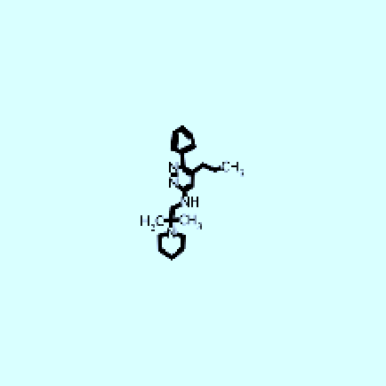 CCCc1cc(NCC(C)(C)N2CCCCC2)nnc1-c1ccccc1